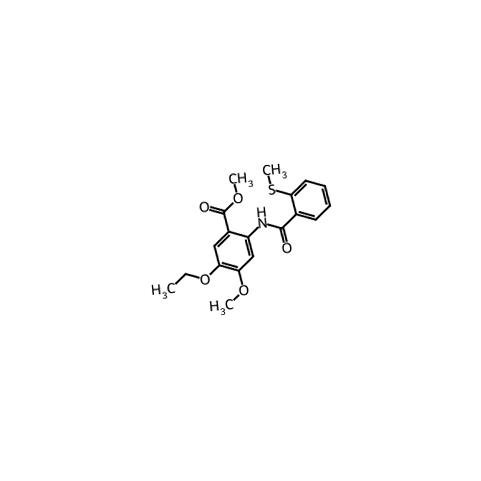 CCOc1cc(C(=O)OC)c(NC(=O)c2ccccc2SC)cc1OC